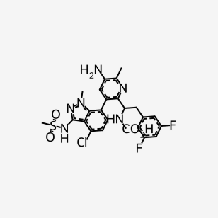 Cc1nc(C(Cc2cc(F)cc(F)c2)NC(=O)O)c(-c2ccc(Cl)c3c(NS(C)(=O)=O)nn(C)c23)cc1N